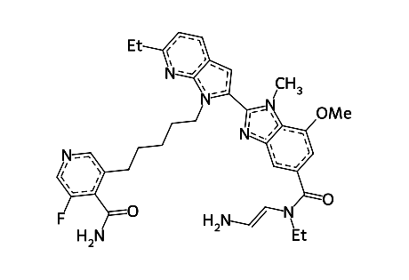 CCc1ccc2cc(-c3nc4cc(C(=O)N(/C=C/N)CC)cc(OC)c4n3C)n(CCCCCc3cncc(F)c3C(N)=O)c2n1